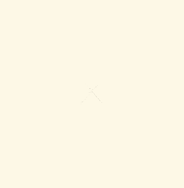 Cl[Si](Cl)(Cl)Br